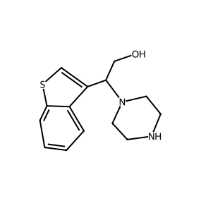 OCC(c1csc2ccccc12)N1CCNCC1